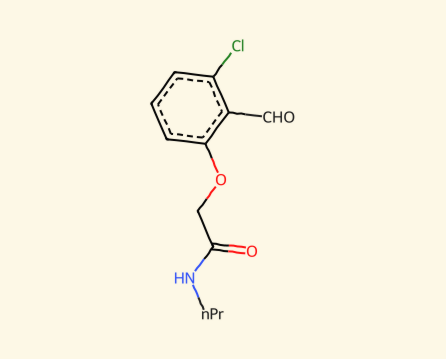 CCCNC(=O)COc1cccc(Cl)c1C=O